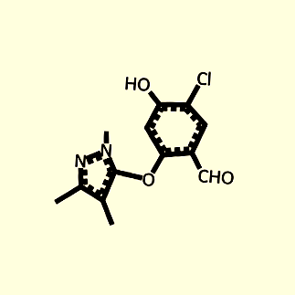 Cc1nn(C)c(Oc2cc(O)c(Cl)cc2C=O)c1C